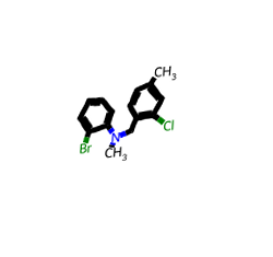 Cc1ccc(CN(C)c2ccccc2Br)c(Cl)c1